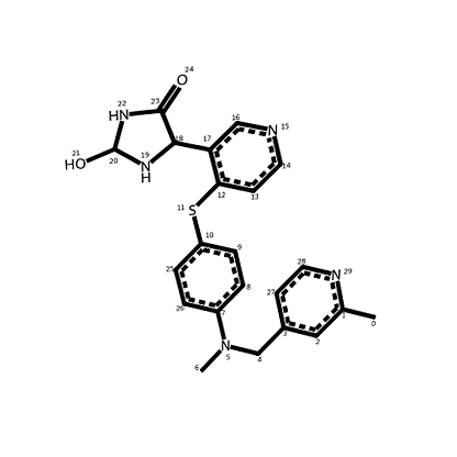 Cc1cc(CN(C)c2ccc(Sc3ccncc3C3NC(O)NC3=O)cc2)ccn1